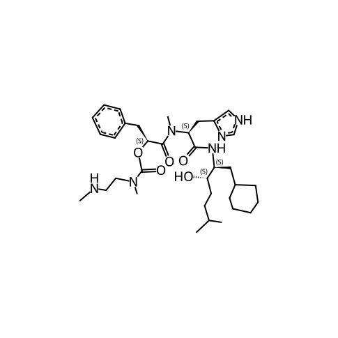 CNCCN(C)C(=O)O[C@@H](Cc1ccccc1)C(=O)N(C)[C@@H](Cc1c[nH]cn1)C(=O)N[C@@H](CC1CCCCC1)[C@@H](O)CCC(C)C